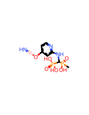 CP(=O)(O)C(Nc1cc(OB=N)ccn1)P(=O)(O)O